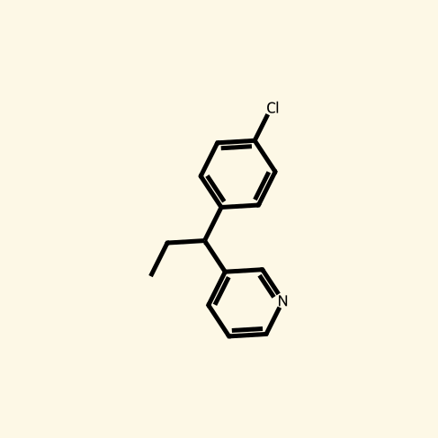 CC[C](c1ccc(Cl)cc1)c1cccnc1